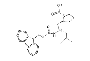 CC(C)C[C@@H](CN1CCC[C@H]1C(=O)O)NC(=O)OCC1c2ccccc2-c2ccccc21